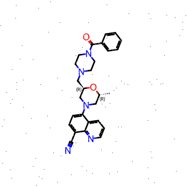 C[C@@H]1CN(c2ccc(C#N)c3ncccc23)C[C@@H](CN2CCN(C(=O)c3ccccc3)CC2)O1